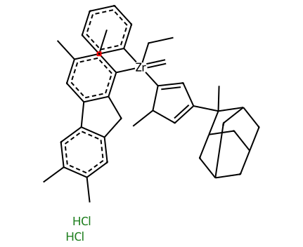 Cl.Cl.[CH2]=[Zr]([CH2]C)([C]1=CC(C2(C)C3CC4CC(C3)CC2C4)=CC1C)([c]1ccccc1)[c]1c(C)c(C)cc2c1Cc1cc(C)c(C)cc1-2